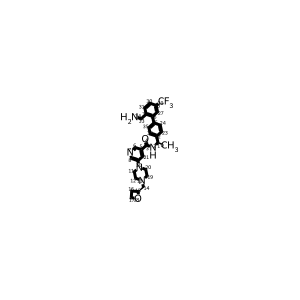 C[C@@H](NC(=O)c1cncc(N2CCN(C[C@@H]3CCO3)CC2)c1)c1ccc(-c2cc(C(F)(F)F)ccc2CN)cc1